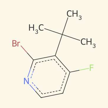 CC(C)(C)c1c(F)ccnc1Br